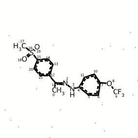 C/C(=N\Nc1ccc(OC(F)(F)F)cc1)c1ccc(S(C)(=O)=O)cc1